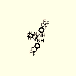 FC(F)(F)Cc1ccc(Nc2nc3nonc3nc2Nc2ccc(OC(F)(F)F)cc2)cc1